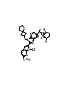 CCn1c(-c2nc3cc(C(=O)N4C[C@H]5CC[C@@H]4[C@@H]5N)cnc3n2CC2CC3(CCCO3)C2)cc2ccc(OC)nc21